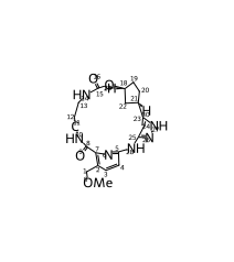 COCc1ccc2nc1C(=O)NCCCNC(=O)O[C@@H]1CC[C@@H](C1)c1cc(n[nH]1)N2